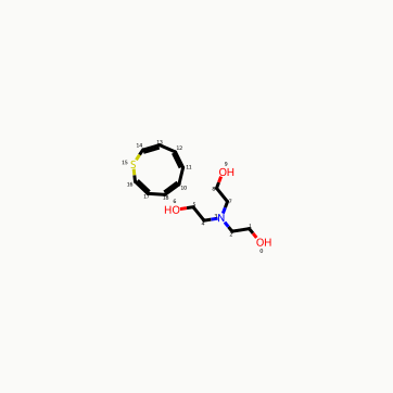 OCCN(CCO)CCO.c1ccccsccc1